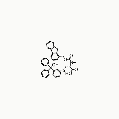 CN(C(=O)OCc1cccc2c1Cc1ccccc1-2)[C@@H](CS)C(=O)O.OC(c1ccccc1)(c1ccccc1)c1ccccc1